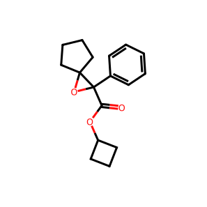 O=C(OC1CCC1)C1(c2ccccc2)OC12CCCC2